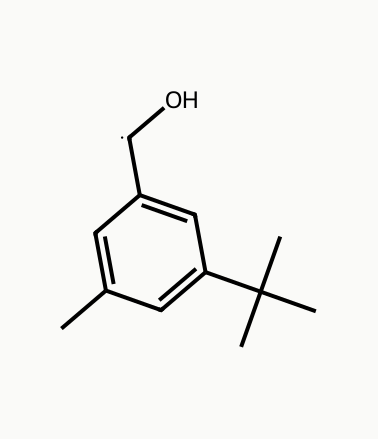 Cc1cc([CH]O)cc(C(C)(C)C)c1